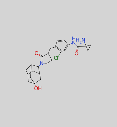 NC1(C(=O)Nc2ccc(CC3CCN(C4C5CC6CC4CC(O)(C6)C5)C3=O)c(Cl)c2)CC1